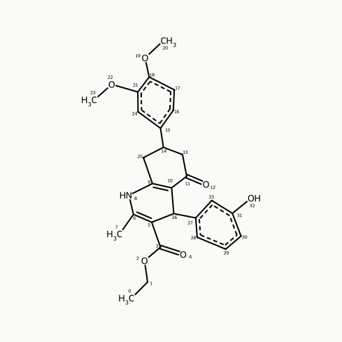 CCOC(=O)C1=C(C)NC2=C(C(=O)CC(c3ccc(OC)c(OC)c3)C2)C1c1cccc(O)c1